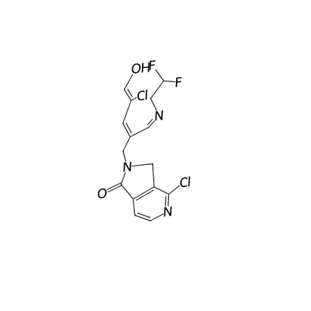 O=C1c2ccnc(Cl)c2CN1CC(/C=N\CC(F)F)=C/C(Cl)=C/O